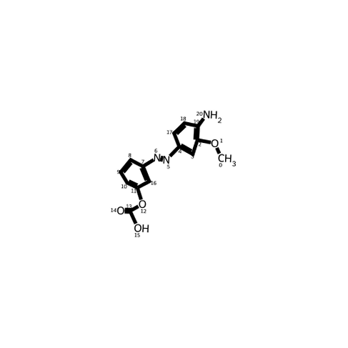 COc1cc(N=Nc2cccc(OC(=O)O)c2)ccc1N